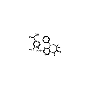 COc1cc(C(=O)O)ccc1Nc1ncc2c(n1)N(c1ccccc1)CC(C)(C)C(=O)N2C